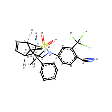 C[Si](C)(c1ccccc1)[C@@H]1[C@@H]2C=C[C@H]1[C@@H]1[C@H]2CN(c2ccc(C#N)c(C(F)(F)F)c2)S1(=O)=O